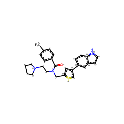 O=C(c1ccc(C(F)(F)F)cc1)N(CCN1CCCC1)Cc1cc(-c2ccc3[nH]ccc3c2)cs1